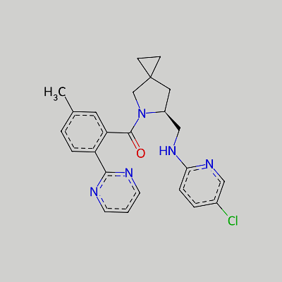 Cc1ccc(-c2ncccn2)c(C(=O)N2CC3(CC3)C[C@H]2CNc2ccc(Cl)cn2)c1